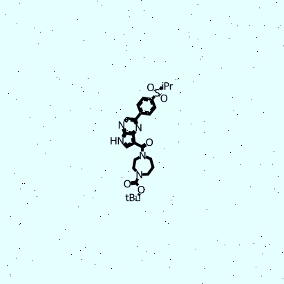 CC(C)S(=O)(=O)c1ccc(-c2cnc3[nH]cc(C(=O)N4CCCN(C(=O)OC(C)(C)C)CC4)c3n2)cc1